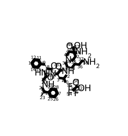 CC(C)C[C@@H](NC(=O)[C@@H](Cc1ccccc1)NC(=O)CNC[C@H](C)c1ccccc1)C(=O)N[C@H](CCCCN)CN1CCC(N)(C(=O)O)CC1.O=C(O)C(F)(F)F